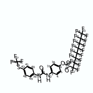 O=C(Nc1ccc(OS(=O)(=O)C(F)(F)C(F)(F)C(F)(F)C(F)(F)C(F)(F)C(F)(F)C(F)(F)C(F)(F)F)cc1)Nc1ccc(SC(F)(F)F)cc1